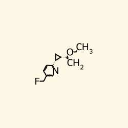 C=C(OCC)[C@H]1C[C@H]1c1ccc(CF)cn1